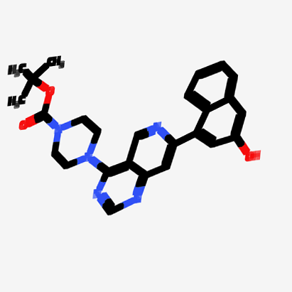 CC(C)(C)OC(=O)N1CCN(c2ncnc3cc(-c4cc(O)cc5ccccc45)ncc23)CC1